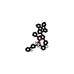 c1ccc(-c2cccc(-c3nc(-c4ccc5c(c4)sc4ccccc45)nc(-c4cccc5oc6ccc(-c7ccc(-c8ccc9c(c8)C8(c%10ccccc%10-c%10ccccc%108)c8ccccc8-9)cc7)cc6c45)n3)c2)cc1